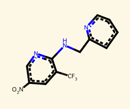 O=[N+]([O-])c1cnc(NCc2ccccn2)c(C(F)(F)F)c1